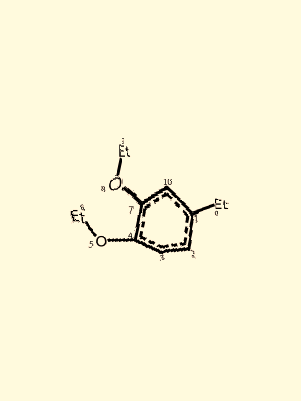 [CH]Cc1ccc(OCC)c(OCC)c1